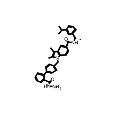 Cc1c(C)n(Cc2ccc(-c3ccccc3C(=O)NN)cc2)c2ccc(C(=O)N[C@@H](C)c3cccc(C(C)C)c3)cc12